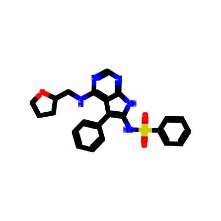 O=S(=O)(Nc1[nH]c2ncnc(NCC3CCCO3)c2c1-c1ccccc1)c1ccccc1